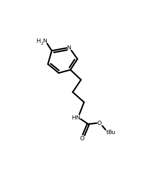 CC(C)(C)OC(=O)NCCCc1ccc(N)nc1